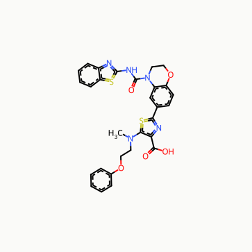 CN(CCOc1ccccc1)c1sc(-c2ccc3c(c2)N(C(=O)Nc2nc4ccccc4s2)CCO3)nc1C(=O)O